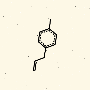 C=CCc1c[c]c(C)cc1